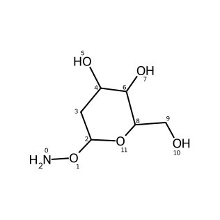 NOC1CC(O)C(O)C(CO)O1